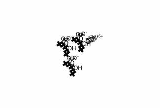 CC1(C)CC(O)(C(C)(C)C2(OP([O-])[O-])CC(C)(C)C2)C1.CC1(C)CC(O)(C(C)(C)C2(OP([O-])[O-])CC(C)(C)C2)C1.CC1(C)CC(O)(C(C)(C)C2(OP([O-])[O-])CC(C)(C)C2)C1.[C]=O.[C]=O.[C]=O.[C]=O.[W+6]